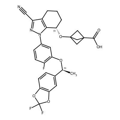 C[C@H](Oc1cc(-n2nc(C#N)c3c2[C@@H](OC24CC(C(=O)O)(C2)C4)CCC3)ccc1F)c1ccc2c(c1)OC(F)(F)O2